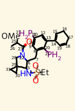 CCS(=O)(=O)NC1C(Cc2cc(P)cc(C3=CCCC=C3)c2P)N(C(=O)C(C)OC)CC12CC2